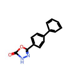 O=c1[nH]nc(-c2ccc(-c3ccccc3)cc2)o1